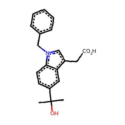 CC(C)(O)c1ccc2c(c1)c(CC(=O)O)cn2Cc1ccccc1